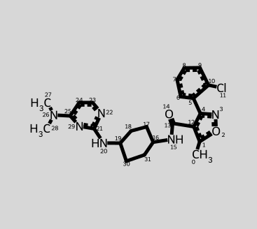 Cc1onc(-c2ccccc2Cl)c1C(=O)NC1CCC(Nc2nccc(N(C)C)n2)CC1